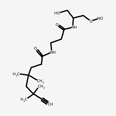 C#CC(C)(C)CC(C)(C)CCC(=O)NCCC(=O)NC(CO)CON=O